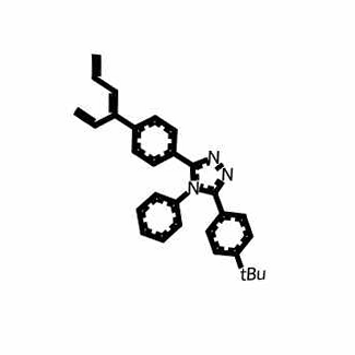 C=C/C=C(\C=C)c1ccc(-c2nnc(-c3ccc(C(C)(C)C)cc3)n2-c2ccccc2)cc1